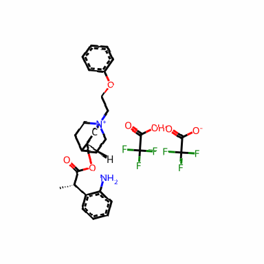 C[C@H](C(=O)O[C@H]1C[N+]2(CCOc3ccccc3)CCC1CC2)c1ccccc1N.O=C(O)C(F)(F)F.O=C([O-])C(F)(F)F